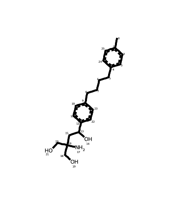 Cc1ccc(CCCCc2ccc(C(O)CC(N)(CO)CO)cc2)cc1